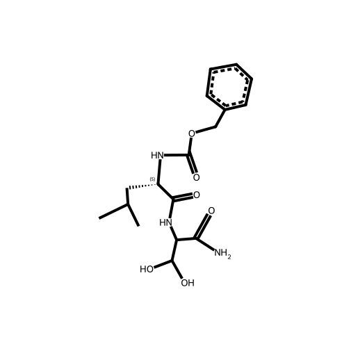 CC(C)C[C@H](NC(=O)OCc1ccccc1)C(=O)NC(C(N)=O)C(O)O